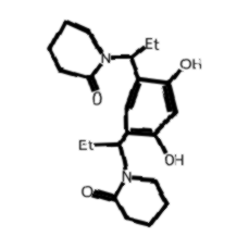 CCC(c1cc(C(CC)N2CCCCC2=O)c(O)cc1O)N1CCCCC1=O